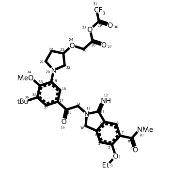 CCOc1cc2c(cc1C(=O)NC)C(=N)N(CC(=O)c1cc(N3CCC(OCC(=O)OC(=O)C(F)(F)F)C3)c(OC)c(C(C)(C)C)c1)C2